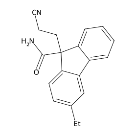 CCc1ccc2c(c1)-c1ccccc1C2(CCC#N)C(N)=O